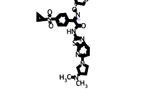 CN(C)C1CCN(c2ccc3nc(NC(=O)/C(=N/O[C@@H]4CCOC4)c4ccc(S(=O)(=O)C5CC5)cc4)sc3n2)C1